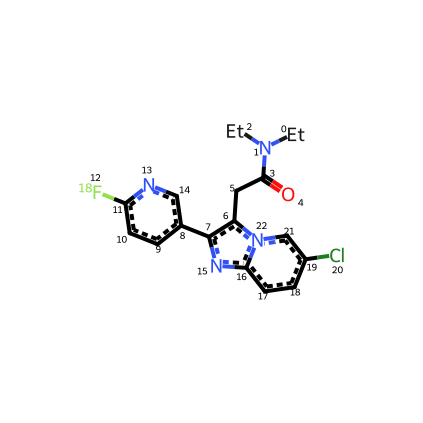 CCN(CC)C(=O)Cc1c(-c2ccc([18F])nc2)nc2ccc(Cl)cn12